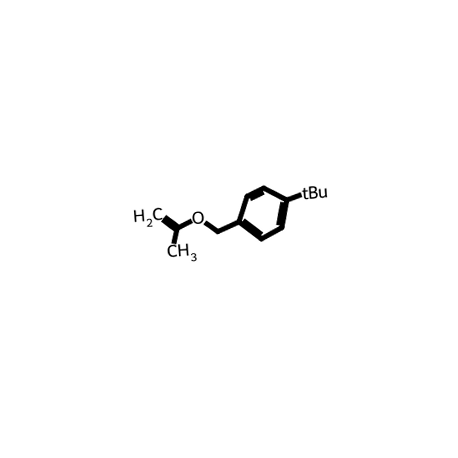 C=C(C)OCc1ccc(C(C)(C)C)cc1